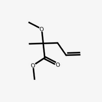 C=CCC(C)(OC)C(=O)OC